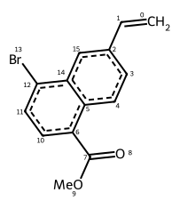 C=Cc1ccc2c(C(=O)OC)ccc(Br)c2c1